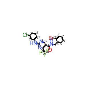 O=C(NCc1ccccc1Br)c1cnc(Nc2cccc(Cl)c2)nc1C(F)(F)F